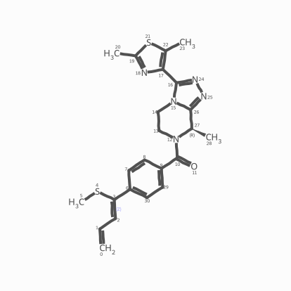 C=C/C=C(\SC)c1ccc(C(=O)N2CCn3c(-c4nc(C)sc4C)nnc3[C@H]2C)cc1